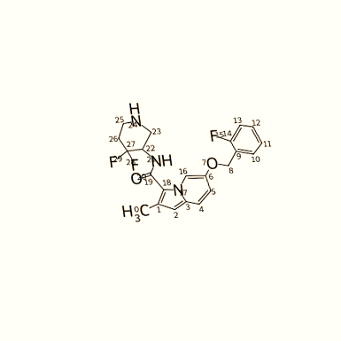 Cc1cc2ccc(OCc3ccccc3F)cn2c1C(=O)NC1CNCCC1(F)F